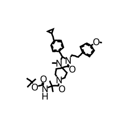 COc1ccc(CCN2C(=O)C3(CCN(C(=O)C(C)(C)NC(=O)OC(C)(C)C)CC3)N(C)C2c2ccc(C3CC3)cc2)cc1